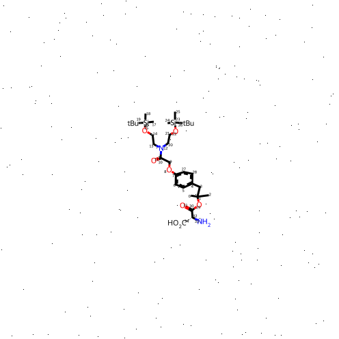 CC(C)(Cc1ccc(OCC(=O)N(CCO[Si](C)(C)C(C)(C)C)CCO[Si](C)(C)C(C)(C)C)cc1)OC(=O)[C@H](N)C(=O)O